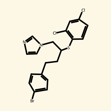 Clc1ccc(SC(CCc2ccc(Br)cc2)Cn2ccnc2)c(Cl)c1